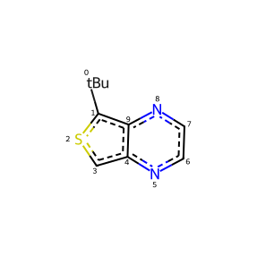 CC(C)(C)c1scc2nccnc12